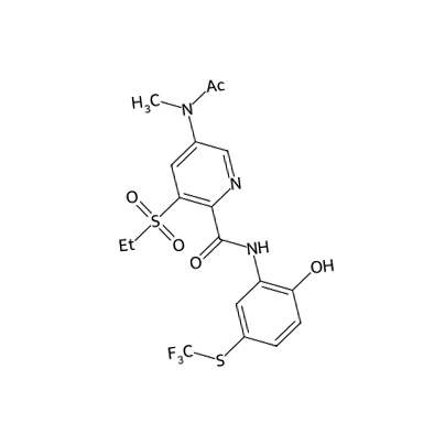 CCS(=O)(=O)c1cc(N(C)C(C)=O)cnc1C(=O)Nc1cc(SC(F)(F)F)ccc1O